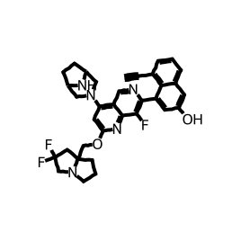 C#Cc1cccc2cc(O)cc(-c3ncc4c(N5CC6CCC(C5)N6)cc(OCC56CCCN5CC(F)(F)C6)nc4c3F)c12